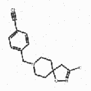 C#Cc1ccc(CN2CCC3(CC2)CC(Cl)=NO3)cc1